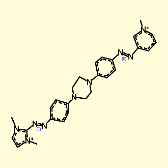 Cn1cc[n+](C)c1/N=N/c1ccc(N2CCN(c3ccc(/N=N/c4ccc[n+](C)c4)cc3)CC2)cc1